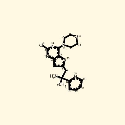 CC(N)(Cc1cc2nc(Cl)nc(N3CCOCC3)c2s1)c1ccccn1